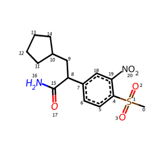 CS(=O)(=O)c1ccc(C(CC2CCCC2)C(N)=O)cc1[N+](=O)[O-]